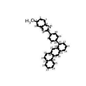 Cc1ccc2nc(-c3ccc(-c4cccc5cc6c(ccc7ccccc76)cc45)cc3)sc2c1